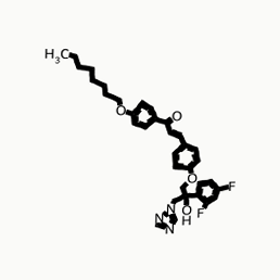 CCCCCCCCOc1ccc(C(=O)C=Cc2ccc(OCC(O)(Cn3cncn3)c3ccc(F)cc3F)cc2)cc1